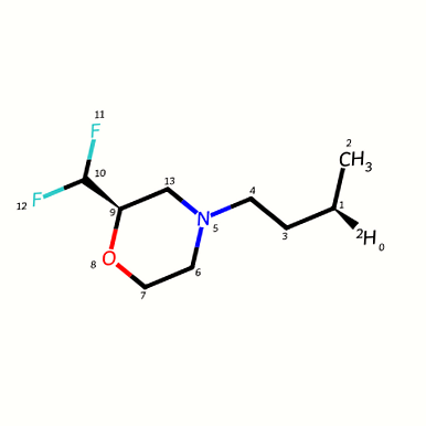 [2H][C@H](C)CCN1CCO[C@@H](C(F)F)C1